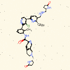 COc1nc(-c2ccnc(-c3cccc(NC(=O)c4cc5c(cn4)CN(C[C@@H]4CCC(=O)N4)CC5)c3C)c2Cl)ccc1CNC[C@H]1CCC(=O)N1